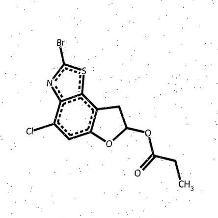 CCC(=O)OC1Cc2c(cc(Cl)c3nc(Br)sc23)O1